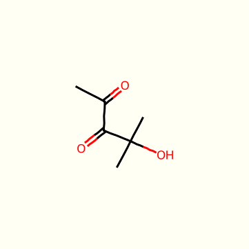 CC(=O)C(=O)C(C)(C)O